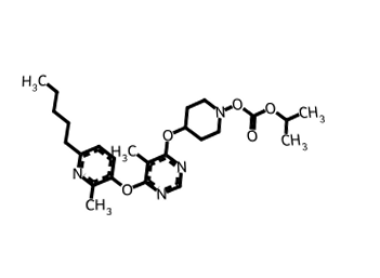 CCCCCc1ccc(Oc2ncnc(OC3CCN(OC(=O)OC(C)C)CC3)c2C)c(C)n1